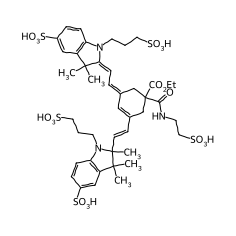 CCOC(=O)C1(C(=O)NCCS(=O)(=O)O)CC(/C=C/C2(C)N(CCCS(=O)(=O)O)c3ccc(S(=O)(=O)O)cc3C2(C)C)=CC(=C/C=C2/N(CCCS(=O)(=O)O)c3ccc(S(=O)(=O)O)cc3C2(C)C)/C1